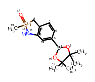 CC1(C)OB(c2ccc3c(c2)N[SH](C)(=O)C3)OC1(C)C